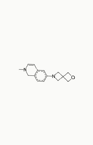 CN1C=Cc2cc(N3CC4(COC4)C3)ccc2C1